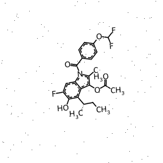 CC[C@H](C)c1c(O)c(F)cc2c1c(OC(C)=O)c(C)n2C(=O)c1ccc(OC(F)F)cc1